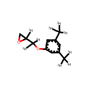 [2H]C([2H])([2H])c1cc(OC([2H])([2H])C2([2H])CO2)cc(C([2H])([2H])[2H])c1